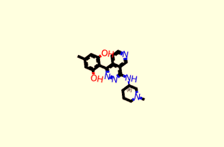 Cc1cc(O)c(-c2nnc(N[C@@H]3CCCN(C)C3)c3cnccc23)c(O)c1